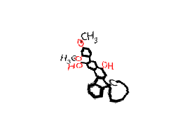 COc1ccc(-c2cc3c(O)cc4c(c3cc2CO)-c2ccccc2C42CCCCCCCC2)c(OC)c1